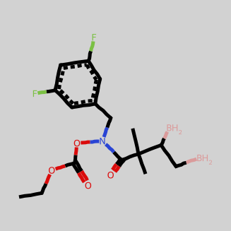 BCC(B)C(C)(C)C(=O)N(Cc1cc(F)cc(F)c1)OC(=O)OCC